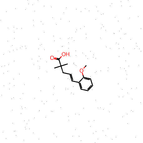 COc1ccccc1C=CCC(C)(C)C(=O)O